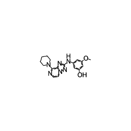 COc1cc(O)cc(Nc2nc3c(N4CCCCC4)nccn3n2)c1